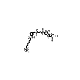 COC(=O)CCCCCCC(=O)Nc1cccc(CNC(=O)CCC(=O)Nc2ccn(C3OC(CO)C(O)C3(F)F)c(=O)n2)c1